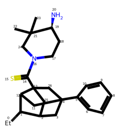 CCC1C2CC3(c4ccccc4)CC1C(C(=S)N1CC[C@H](N)C(C)(C)C1)(C2)C3